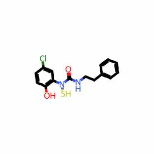 O=C(NCCc1ccccc1)N(S)c1cc(Cl)ccc1O